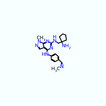 C/N=C\c1ccc(Nc2nc(NCC3(N)CCCC3)nc3c2cnn3C)cc1